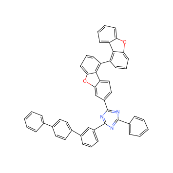 c1ccc(-c2ccc(-c3cccc(-c4nc(-c5ccccc5)nc(-c5ccc6c(c5)oc5cccc(-c7cccc8oc9ccccc9c78)c56)n4)c3)cc2)cc1